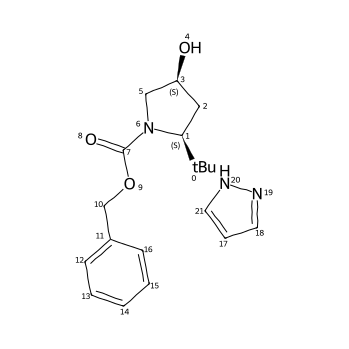 CC(C)(C)[C@@H]1C[C@H](O)CN1C(=O)OCc1ccccc1.c1cn[nH]c1